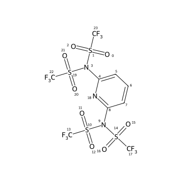 O=S(=O)(N(c1cccc(N(S(=O)(=O)C(F)(F)F)S(=O)(=O)C(F)(F)F)n1)S(=O)(=O)C(F)(F)F)C(F)(F)F